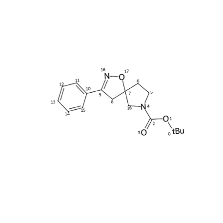 CC(C)(C)OC(=O)N1CCC2(CC(c3ccccc3)=NO2)C1